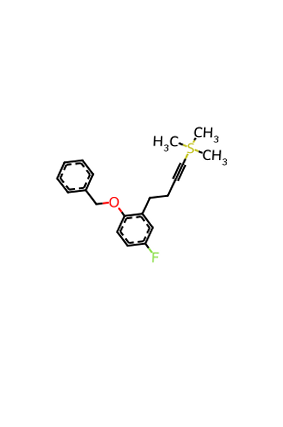 CS(C)(C)C#CCCc1cc(F)ccc1OCc1ccccc1